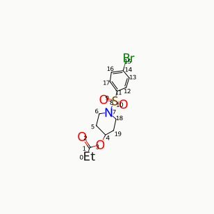 CCC(=O)OC1CCN(S(=O)(=O)c2ccc(Br)cc2)CC1